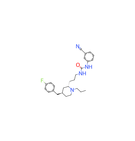 CCCN1CC[C@@H](Cc2ccc(F)cc2)C[C@@H]1CCCNC(=O)Nc1cccc(C#N)c1